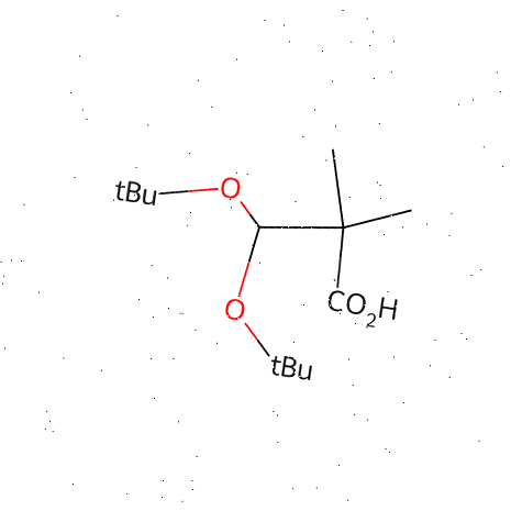 CC(C)(C)OC(OC(C)(C)C)C(C)(C)C(=O)O